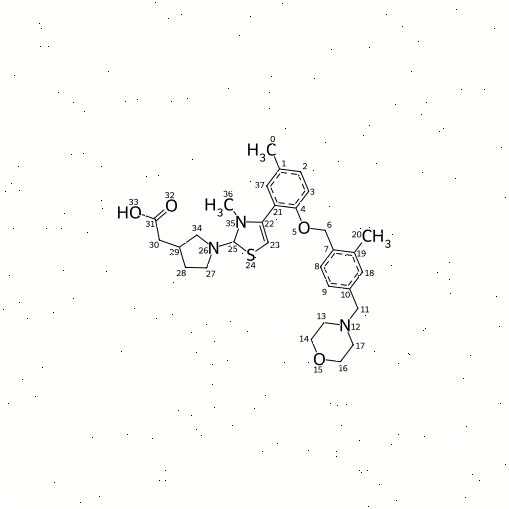 Cc1ccc(OCc2ccc(CN3CCOCC3)cc2C)c(C2=CSC(N3CCC(CC(=O)O)C3)N2C)c1